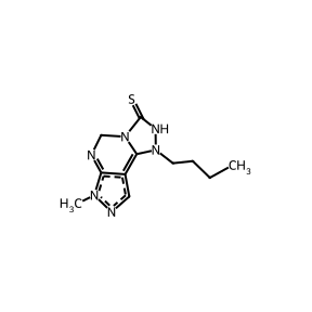 CCCCN1NC(=S)N2CN=c3c(cnn3C)=C12